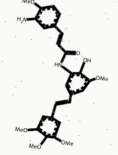 COc1ccc(/C=C/C(=O)Nc2cc(C=Cc3cc(OC)c(OC)c(OC)c3)cc(OC)c2O)cc1N